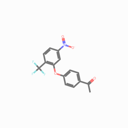 CC(=O)c1ccc(Oc2cc([N+](=O)[O-])ccc2C(F)(F)F)cc1